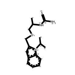 CC(COCc1cc2ccccc2n1C(C)C)NC(N)=S